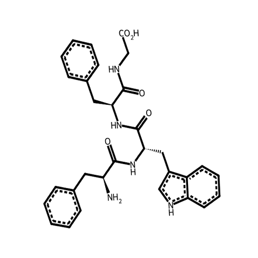 N[C@@H](Cc1ccccc1)C(=O)N[C@@H](Cc1c[nH]c2ccccc12)C(=O)N[C@@H](Cc1ccccc1)C(=O)NCC(=O)O